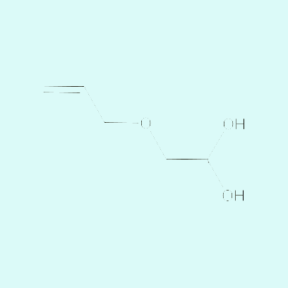 C=CCOC[C](O)O